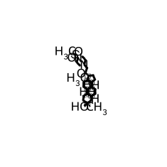 C[C@@]1(O)CC[C@H]2[C@@H](CC[C@@H]3[C@@H]2CC[C@]2(C)[C@@H](C(=O)CN4CCN(S(C)(=O)=O)CC4)CC[C@@H]32)C1